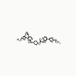 COc1ncc(-c2ccnc(NC(=O)O[C@H]3CC[C@H](Nc4ncc(C#N)c(-c5nn(C)cc5Cl)n4)CC3)c2)cn1